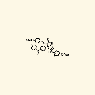 COc1ccc(CCN2C(=S)NC(=O)C2(CC(=O)Nc2ccc(OC)cn2)c2ccc(C(=O)N3CCOCC3)cc2)cc1